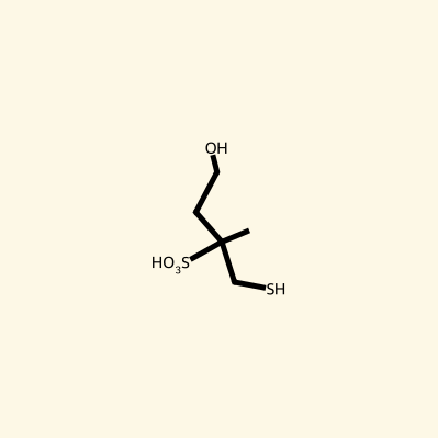 CC(CS)(CCO)S(=O)(=O)O